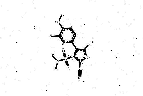 COc1ccc(-c2c(Cl)nc(C#N)n2S(=O)(=O)N(C)C)cc1C